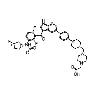 O=C(O)CN1CCN(CC2CCN(c3ccc(-c4cnc5[nH]cc(C(=O)c6c(F)ccc(N(N7CC[C@@H](F)C7)[SH](=O)=O)c6F)c5c4)cc3)CC2)CC1